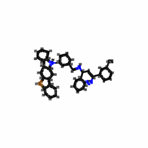 N#Cc1cccc(/C(N)=C/C(/N=C/c2cccc(-n3c4ccccc4c4cc5sc6ccccc6c5cc43)c2)c2ccccc2)c1